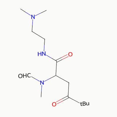 CN(C)CCNC(=O)C(CC(=O)C(C)(C)C)N(C)C=O